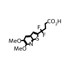 COc1cc2cc(C(F)(F)CCC(=O)O)sc2nc1OC